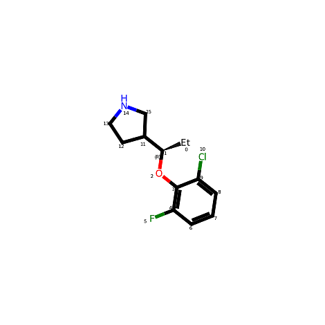 CC[C@@H](Oc1c(F)cccc1Cl)C1CCNC1